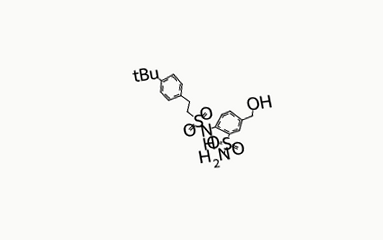 CC(C)(C)c1ccc(CCS(=O)(=O)Nc2ccc(CO)cc2S(N)(=O)=O)cc1